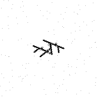 CCCCCCCCN(CCCCC(=O)OCC(CCCCCC)CCCCCC)C(=O)OCCN(CCCN(CC)CC)CCOC(=O)N(CCCCCCCC)CCCCC(=O)OCC(CCCCCC)CCCCCC